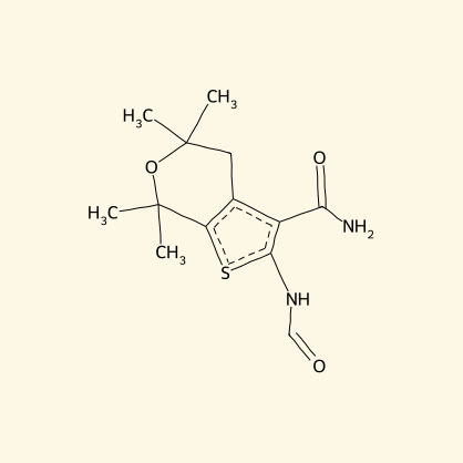 CC1(C)Cc2c(sc(NC=O)c2C(N)=O)C(C)(C)O1